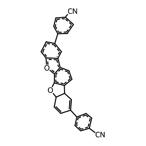 N#Cc1ccc(C2=CC3c4ccc5c(oc6ccc(-c7ccc(C#N)cc7)cc65)c4OC3C=C2)cc1